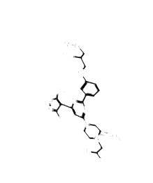 CNCC(O)COc1cccc(-c2nc(-c3c(C)noc3C)cc(N3CCN(CC(F)F)[C@H](C)C3)n2)c1